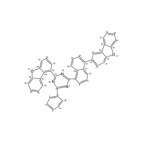 c1ccc(-c2nc(-c3cccc4c(-c5ccc6oc7ccccc7c6c5)cccc34)nc(-c3cccc4oc5ccccc5c34)n2)cc1